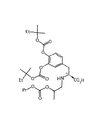 CCC(C)(C)OC(=O)Oc1ccc(C[C@H](NCC(C)OC(=O)OC(C)C)C(=O)O)cc1OC(=O)OC(C)(C)CC